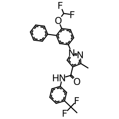 Cc1nn(-c2ccc(OC(F)F)c(-c3ccccc3)c2)cc1C(=O)Nc1cccc(C(C)(F)F)c1